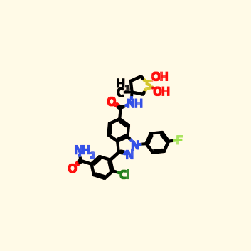 CC1(NC(=O)c2ccc3c(-c4cc(C(N)=O)ccc4Cl)nn(-c4ccc(F)cc4)c3c2)CCS(O)(O)C1